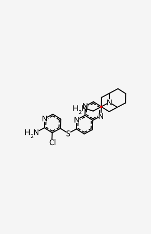 NCC1CC2CCCC(C1)N2c1cnc2nc(Sc3ccnc(N)c3Cl)ccc2n1